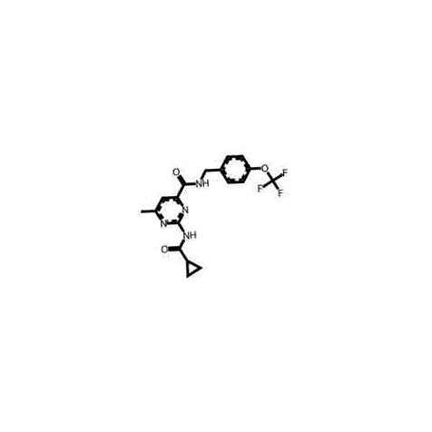 Cc1cc(C(=O)NCc2ccc(OC(F)(F)F)cc2)nc(NC(=O)C2CC2)n1